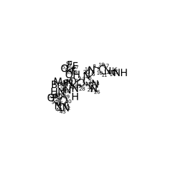 COc1cc(N2CCN(CC3CCN(C4CNC4)CC3)CC2)c(-c2cnn(C)c2)cc1Nc1ncc(Br)c(Nc2ccc3nccnc3c2P(C)(C)=O)n1.O=C(O)C(F)(F)F